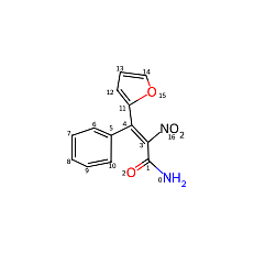 NC(=O)/C(=C(\c1ccccc1)c1ccco1)[N+](=O)[O-]